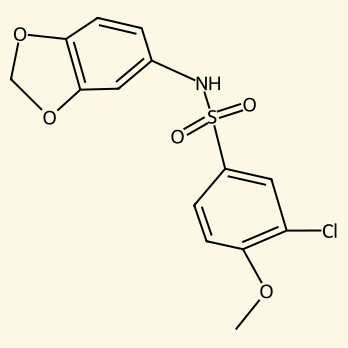 COc1ccc(S(=O)(=O)Nc2ccc3c(c2)OCO3)cc1Cl